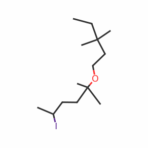 CCC(C)(C)CCOC(C)(C)CCC(C)I